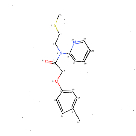 CSCCN(C(=O)COc1ccc(C)cc1)c1ccccn1